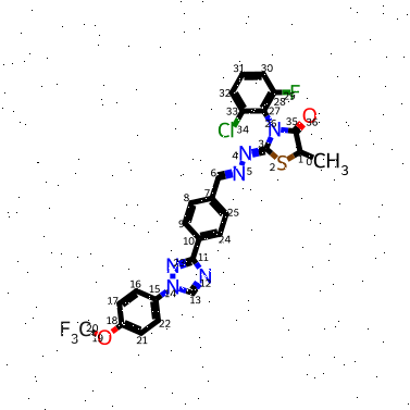 CC1S/C(=N\N=C\c2ccc(-c3ncn(-c4ccc(OC(F)(F)F)cc4)n3)cc2)N(c2c(F)cccc2Cl)C1=O